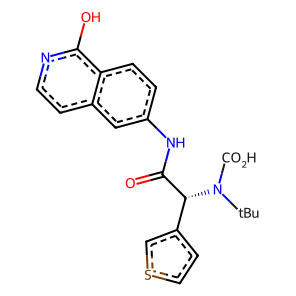 CC(C)(C)N(C(=O)O)[C@@H](C(=O)Nc1ccc2c(O)nccc2c1)c1ccsc1